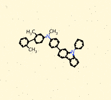 Cc1ccccc1-c1ccc(N(C)c2ccc(-c3ccc4c5ccccc5n(-c5ccccc5)c4c3)cc2)cc1C